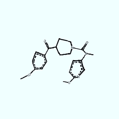 COc1ccc(C(=O)C2CCN(C(=O)N(C)c3ccc(OC)nc3)CC2)cc1